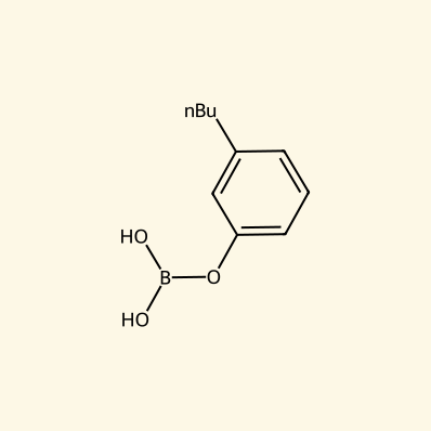 CCCCc1cccc(OB(O)O)c1